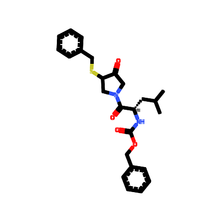 CC(C)C[C@H](NC(=O)OCc1ccccc1)C(=O)N1CC(=O)C(SCc2ccccc2)C1